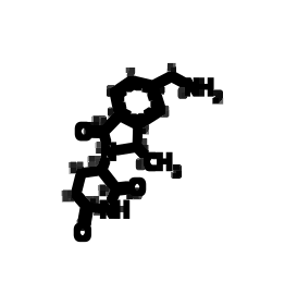 CC1c2cc(CN)ccc2C(=O)N1C1CCC(=O)NC1=O